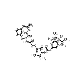 CC(C)[C@H](NC(=O)Cc1ccc([Si](O)(C(C)C)C(C)C)cc1)C(=O)NCCC(=O)N[C@@H](Cc1ccccc1)C(=O)NCC(N)=O